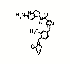 Cc1cc(Cn2cc(C(=O)NC3CCc4nc(N)ccc43)cn2)ccc1CN1CC2CC2C1=O